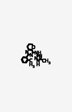 Cc1nc(Nc2nc(-c3ccccc3C)nc3c2OCCC3)n[nH]1